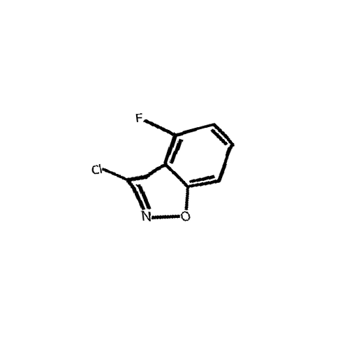 Fc1cccc2onc(Cl)c12